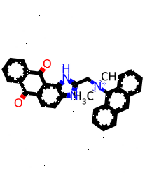 C[N+](C)(Cc1nc2ccc3c(c2[nH]1)C(=O)c1ccccc1C3=O)c1c2ccccc2cc2ccccc12